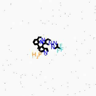 CCc1cccc(CC)c1-n1nc2c(c1-c1ccc(P)c3c1ccn3C)CN(c1ncc(C(F)(F)F)cn1)CC2